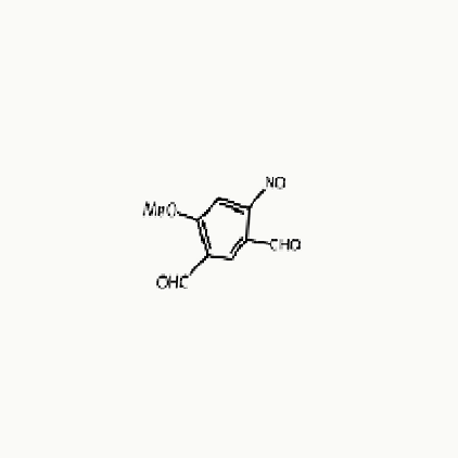 COc1cc(N=O)c(C=O)cc1C=O